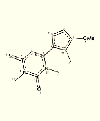 COc1csc(-c2cc(=S)n(C)c(=O)n2C)c1C